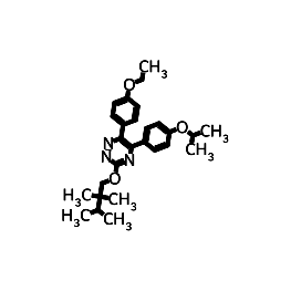 CCOc1ccc(-c2nnc(OCC(C)(C)C(C)C)nc2-c2ccc(OC(C)C)cc2)cc1